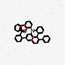 c1ccc(-c2ccccc2-c2cccc(N(c3ccccc3-c3ccccc3-c3ccccc3)c3cccc4c3oc3ccccc34)c2)cc1